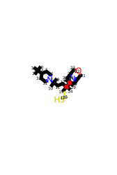 CC(C)(C)C1CCN(C(C)(C)CCC(C)(CSS)C2CC3COCC(C2)N3C(C)(C)C)CC1